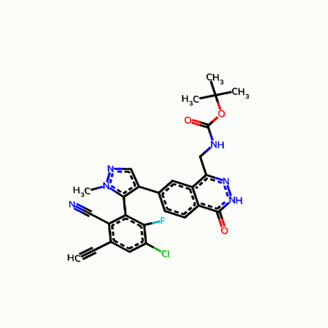 C#Cc1cc(Cl)c(F)c(-c2c(-c3ccc4c(=O)[nH]nc(CNC(=O)OC(C)(C)C)c4c3)cnn2C)c1C#N